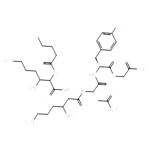 CC[C@H](C)CC(=O)NC(C(=O)N[C@H](C(=O)N[C@@H](CC(N)=O)C(=O)N[C@@H](Cc1ccc(O)cc1)C(=O)N[C@@H](C)C(=O)O)C(N)CCCN)C(N)CCCN